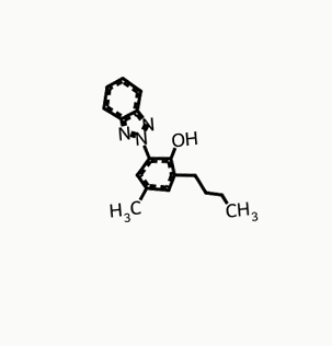 CCCCc1cc(C)cc(-n2nc3ccccc3n2)c1O